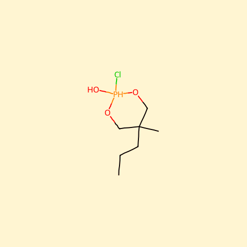 CCCC1(C)CO[PH](O)(Cl)OC1